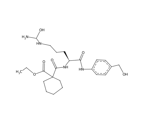 CCOC(=O)C1(C(=O)N[C@@H](CCCNC(N)O)C(=O)Nc2ccc(CO)cc2)CCCCC1